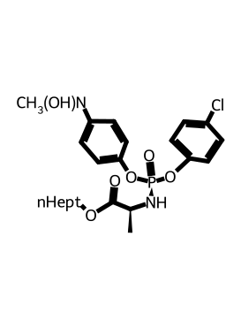 CCCCCCCOC(=O)[C@H](C)N[P@@](=O)(Oc1ccc(Cl)cc1)Oc1ccc(N(C)O)cc1